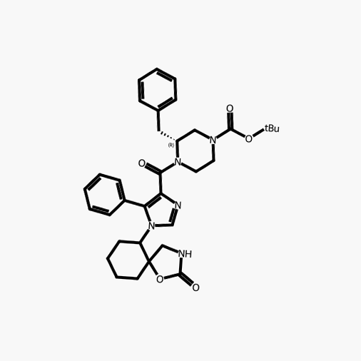 CC(C)(C)OC(=O)N1CCN(C(=O)c2ncn(C3CCCCC34CNC(=O)O4)c2-c2ccccc2)[C@H](Cc2ccccc2)C1